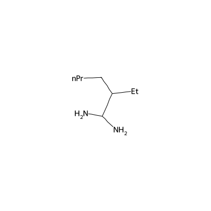 CCCCC(CC)C(N)N